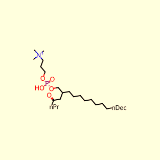 CCCCCCCCCCCCCCCCCCC(COP(=O)(O)OCCC[N+](C)(C)C)CC(=O)CCC